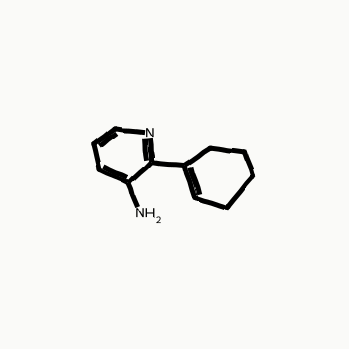 Nc1cccnc1C1=CCCCC1